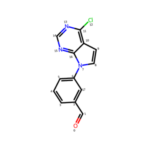 O=Cc1cccc(-n2ccc3c(Cl)ncnc32)c1